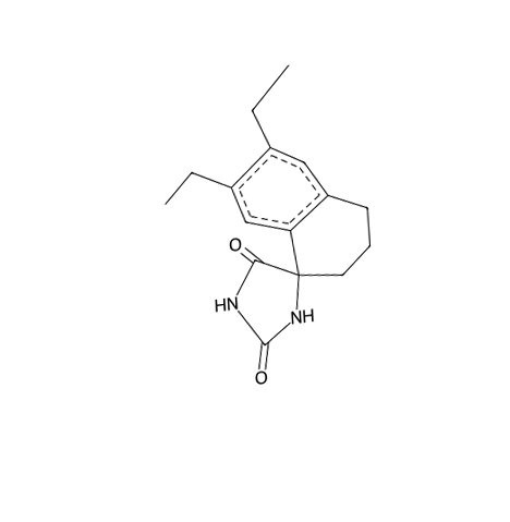 CCc1cc2c(cc1CC)C1(CCC2)NC(=O)NC1=O